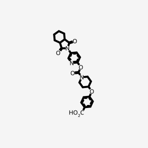 O=C(O)c1ccc(OC2CCN(C(=O)Oc3ccc(N4C(=O)C5CCCCC5C4=O)cn3)CC2)cc1